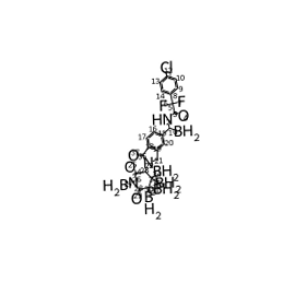 BC(NC(=O)C(F)(F)c1ccc(Cl)cc1)c1ccc2c(c1)CN(C1C(=O)N(B)C(=O)C(B)(B)C1(B)B)C2=O